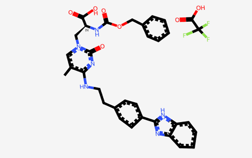 Cc1cn(C[C@H](NC(=O)OCc2ccccc2)C(=O)O)c(=O)nc1NCCc1ccc(-c2nc3ccccc3[nH]2)cc1.O=C(O)C(F)(F)F